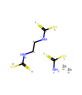 NC(=S)S.S=C(S)NCCNC(=S)S.[Zn].[Zn]